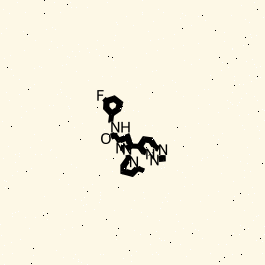 Cc1cccc(-n2nc(C(=O)NCc3cccc(F)c3)cc2-c2ccc3ncnn3c2)n1